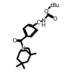 CC1(C)CC2CC(C)(CN2C(=O)c2ccc(CNC(=O)OC(C)(C)C)cc2)C1